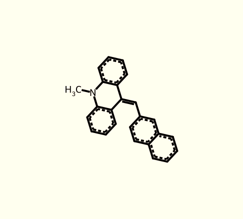 CN1c2ccccc2C(=Cc2ccc3ccccc3c2)c2ccccc21